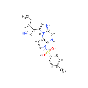 CCC1CNCC1c1cnc2cnc3c(ccn3S(=O)(=O)c3ccc(C)cc3)n12